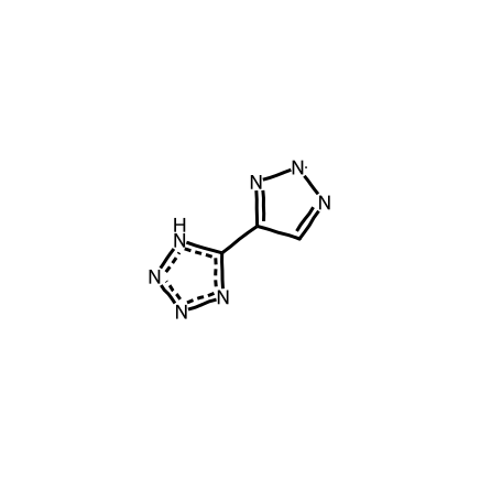 C1=N[N]N=C1c1nnn[nH]1